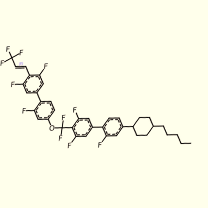 CCCCCC1CCC(c2ccc(-c3cc(F)c(C(F)(F)Oc4ccc(-c5cc(F)c(/C=C/C(F)(F)F)c(F)c5)c(F)c4)c(F)c3)c(F)c2)CC1